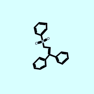 O=S(=O)(CC=C(c1ccccc1)c1ccccc1)c1ccccc1